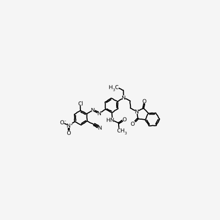 CCN(CCN1C(=O)c2ccccc2C1=O)c1ccc(/N=N/c2c(Cl)cc([N+](=O)[O-])cc2C#N)c(NC(C)=O)c1